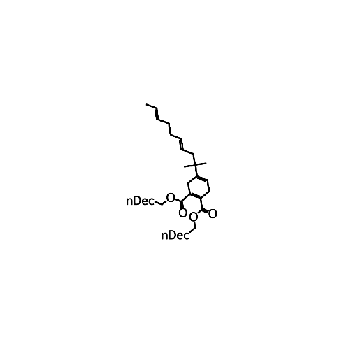 C/C=C/CC/C=C/CC(C)(C)C1=CCC(C(=O)OCCCCCCCCCCC)=C(C(=O)OCCCCCCCCCCC)C1